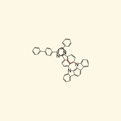 c1ccc(-c2ccc(-c3cc(-c4ccccc4)nc(-c4ccc(-n5c6ccccc6c6ccc7c8ccccc8n(-c8ccc(-c9ccccc9)cc8)c7c65)cc4)n3)cc2)cc1